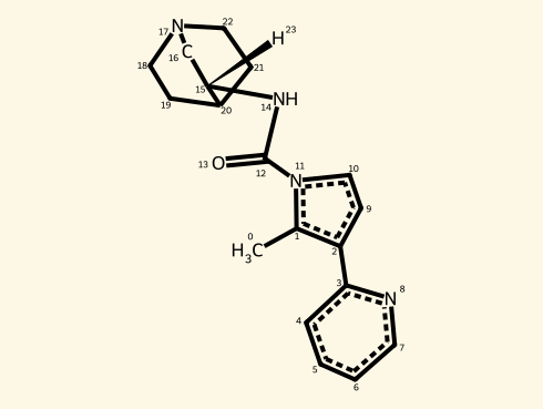 Cc1c(-c2ccccn2)ccn1C(=O)N[C@H]1CN2CCC1CC2